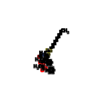 CCCCCCCCCCCCSC(=S)SC(C)(CN=C=O)CC(CC(C)(C)C(=O)OC(C)C(=O)OCc1ccccc1)c1ccccc1